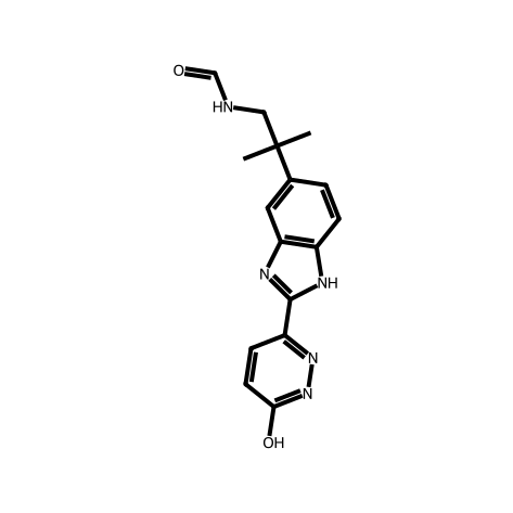 CC(C)(CNC=O)c1ccc2[nH]c(-c3ccc(O)nn3)nc2c1